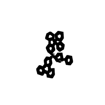 C1=CC2=C(CC1)C(c1ccccc1)(c1ccccc1)c1cc(N(c3ccc(-c4ccccc4)cc3)c3ccc4c5ccccc5c5ccccc5c4c3)ccc12